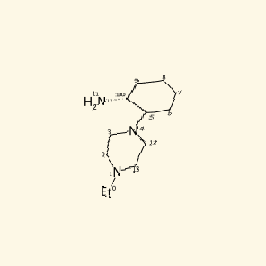 CCN1CCN(C2CCCC[C@H]2N)CC1